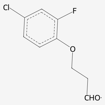 O=[C]CCOc1ccc(Cl)cc1F